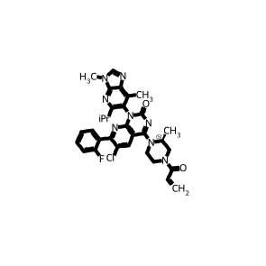 C=CC(=O)N1CCN(c2nc(=O)n(-c3c(C(C)C)nc4c(ncn4C)c3C)c3nc(-c4ccccc4F)c(Cl)cc23)[C@@H](C)C1